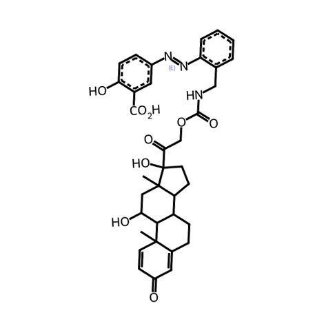 CC12C=CC(=O)C=C1CCC1C2C(O)CC2(C)C1CCC2(O)C(=O)COC(=O)NCc1ccccc1/N=N/c1ccc(O)c(C(=O)O)c1